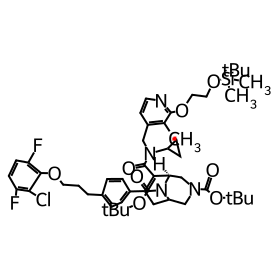 Cc1c(CN(C(=O)C2=C(c3ccc(CCCOc4c(F)ccc(F)c4Cl)cc3)CC3CN(C(=O)OC(C)(C)C)C[C@H]2N3C(=O)OC(C)(C)C)C2CC2)ccnc1OCCO[Si](C)(C)C(C)(C)C